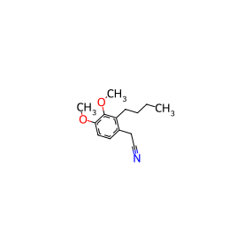 CCCCc1c(CC#N)ccc(OC)c1OC